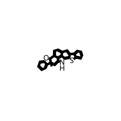 CC12C=c3[nH]c4c5sc6ccccc6c5cc5ccc(c3c54)C1Oc1ccccc12